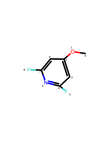 COc1cc(F)nc(F)c1